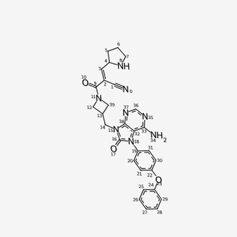 N#CC(=CC1CCCN1)C(=O)N1CC(Cn2c(=O)n(-c3ccc(Oc4ccccc4)cc3)c3c(N)ncnc32)C1